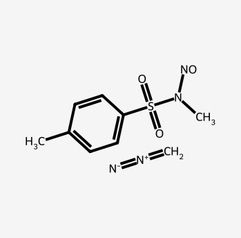 C=[N+]=[N-].Cc1ccc(S(=O)(=O)N(C)N=O)cc1